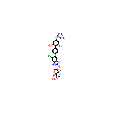 CN(C)Cc1cc(O)c(-c2ccc(-c3cc4nc(O[C@@H]5CO[C@H]6[C@@H]5OC[C@H]6O)[nH]c4cc3Cl)cc2)c(O)c1